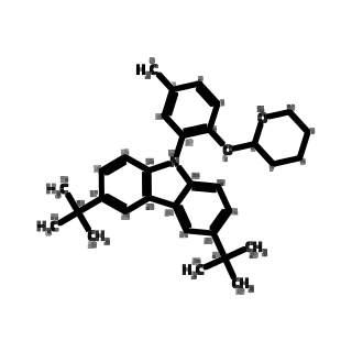 Cc1ccc(OC2CCCCO2)c(-n2c3ccc(C(C)(C)C)cc3c3cc(C(C)(C)C)ccc32)c1